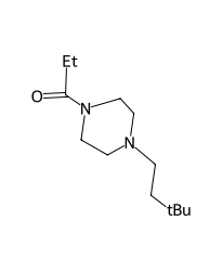 CCC(=O)N1CCN(CCC(C)(C)C)CC1